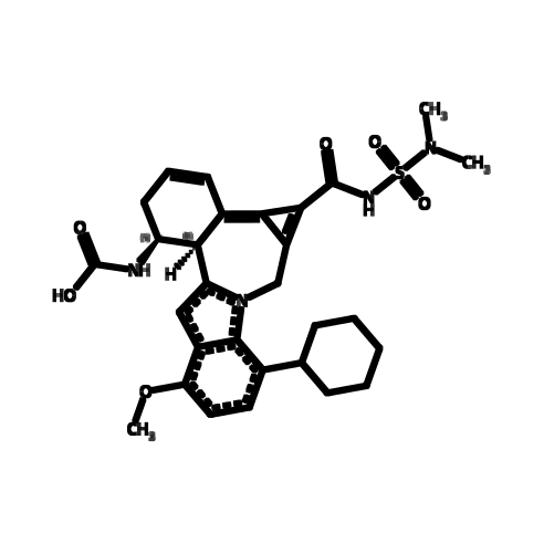 COc1ccc(C2CCCCC2)c2c1cc1n2CC2=C(C(=O)NS(=O)(=O)N(C)C)C2=C2C=CC[C@H](NC(=O)O)[C@@H]21